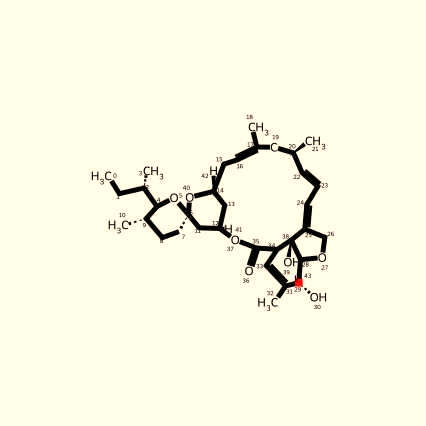 CC[C@H](C)C1O[C@]2(CC[C@@H]1C)C[C@@H]1C[C@@H](C/C=C(\C)C[C@@H](C)/C=C/C=C3\CO[C@@H]4[C@H](O)C(C)=CC(C(=O)O1)[C@]34O)O2